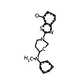 CN(c1ccccc1)C1CCN(c2nc3cccc([O])c3s2)CC1